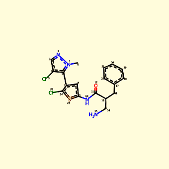 Cn1ncc(Cl)c1-c1cc(NC(=O)[C@H](CN)Cc2ccccc2)sc1Cl